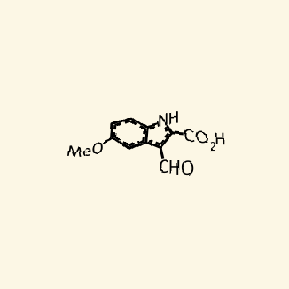 COc1ccc2[nH]c(C(=O)O)c(C=O)c2c1